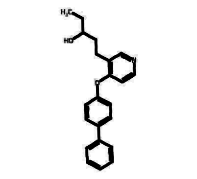 CCC(O)CCc1cnccc1Oc1ccc(-c2ccccc2)cc1